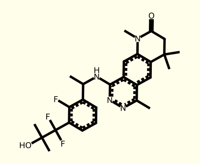 Cc1nnc(NC(C)c2cccc(C(F)(F)C(C)(C)O)c2F)c2cc3c(cc12)C(C)(C)CC(=O)N3C